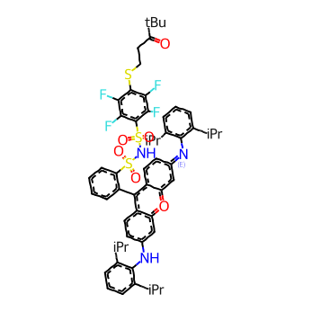 CC(C)c1cccc(C(C)C)c1/N=c1\ccc2c(-c3ccccc3S(=O)(=O)NS(=O)(=O)c3c(F)c(F)c(SCCC(=O)C(C)(C)C)c(F)c3F)c3ccc(Nc4c(C(C)C)cccc4C(C)C)cc3oc-2c1